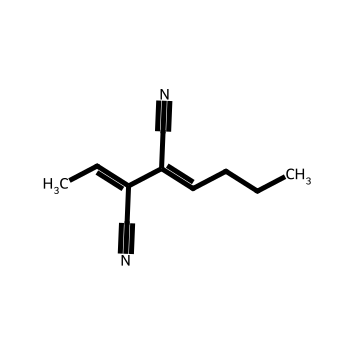 CC=C(C#N)C(C#N)=CCCC